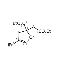 CCOC(=O)CC1(C(=O)OCC)CC(C(C)C)=NO1